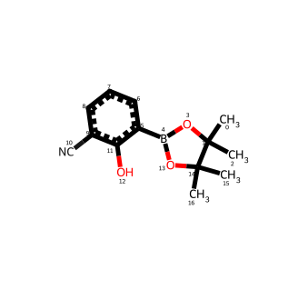 CC1(C)OB(c2cccc(C#N)c2O)OC1(C)C